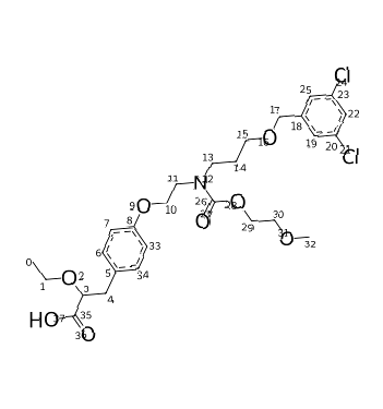 CCOC(Cc1ccc(OCCN(CCCOCc2cc(Cl)cc(Cl)c2)C(=O)OCCOC)cc1)C(=O)O